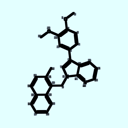 COc1ccc(-c2cn(Cc3c(C)ccc4ccccc34)c3ncccc23)cc1OC